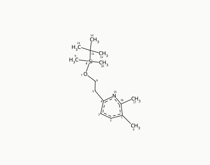 Cc1ccc(CCO[Si](C)(C)C(C)(C)C)nc1C